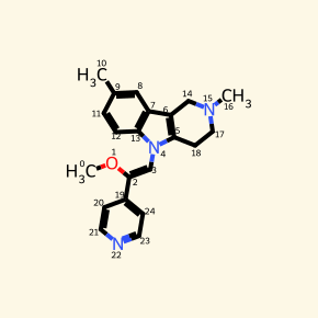 COC(=Cn1c2c(c3cc(C)ccc31)CN(C)CC2)c1ccncc1